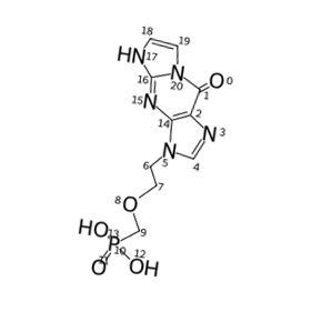 O=c1c2ncn(CCOCP(=O)(O)O)c2nc2[nH]ccn12